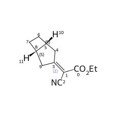 CCOC(=O)/C(C#N)=C1\C[C@H]2CC[C@H]2C1